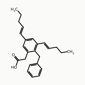 CCC/C=C/c1cc(/C=C/CCC)c(Cc2ccccc2)c(CC(=O)O)c1